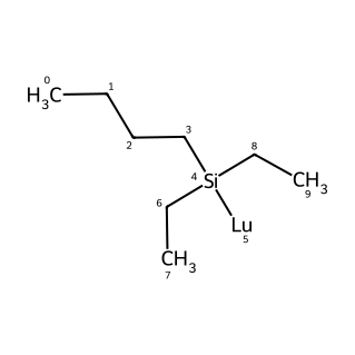 CCCC[Si]([Lu])(CC)CC